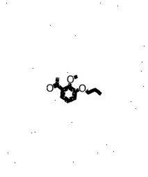 CCCOc1cccc(C(C)=O)c1OC